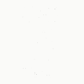 O=C1NC(=O)C(Cc2ccc(OCC3(Cc4ccccc4)COCCO3)cc2)S1